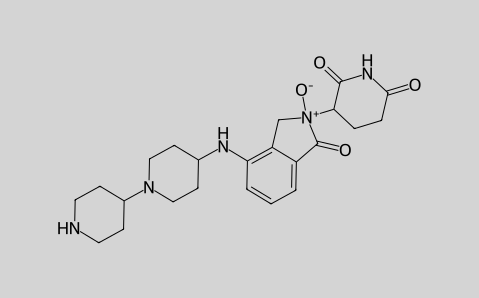 O=C1CCC([N+]2([O-])Cc3c(NC4CCN(C5CCNCC5)CC4)cccc3C2=O)C(=O)N1